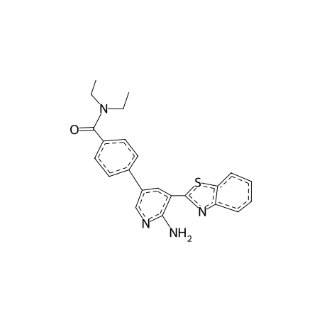 CCN(CC)C(=O)c1ccc(-c2cnc(N)c(-c3nc4ccccc4s3)c2)cc1